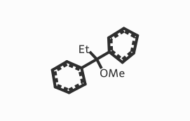 CCC(OC)(c1ccccc1)c1ccccc1